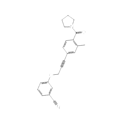 Cc1cc(C#CCOc2cccc(C#N)c2)ccc1C(=O)N1CCCC1